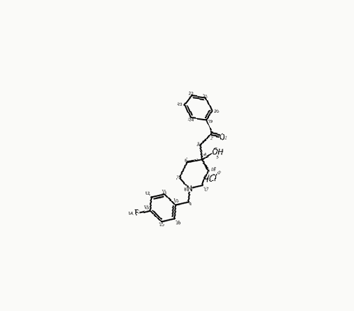 Cl.O=C(CC1(O)CCN(Cc2ccc(F)cc2)CC1)c1ccccc1